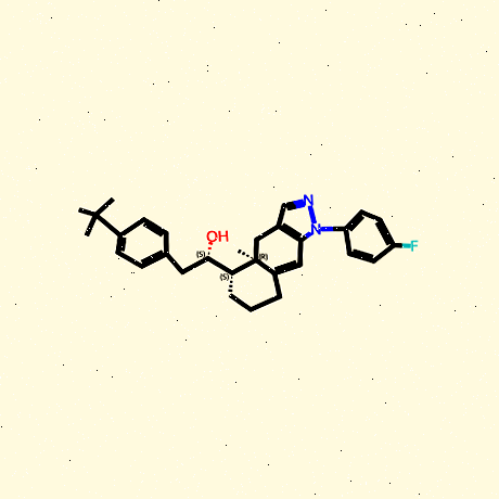 CC(C)(C)c1ccc(C[C@H](O)[C@H]2CCCC3=Cc4c(cnn4-c4ccc(F)cc4)C[C@@]32C)cc1